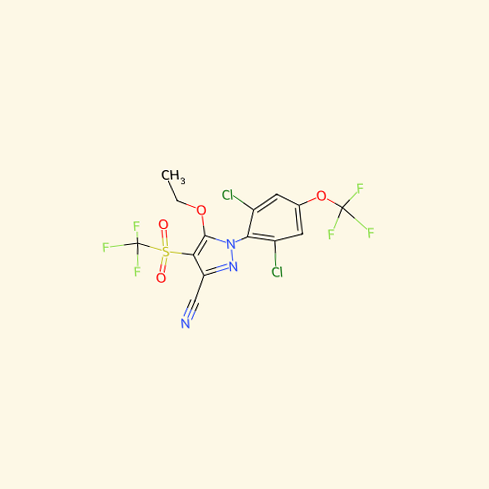 CCOc1c(S(=O)(=O)C(F)(F)F)c(C#N)nn1-c1c(Cl)cc(OC(F)(F)F)cc1Cl